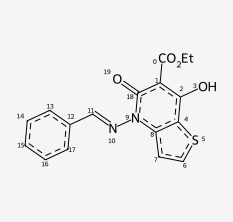 CCOC(=O)c1c(O)c2sccc2n(N=Cc2ccccc2)c1=O